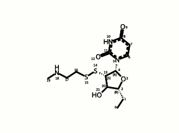 CC[C@H]1O[C@@H](n2ccc(=O)[nH]c2=O)[C@@H](SSCCNC)C1O